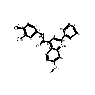 COc1ccc2c(C(=O)Nc3ccc(Cl)c(Cl)c3)cc(-c3ccccc3)nc2c1